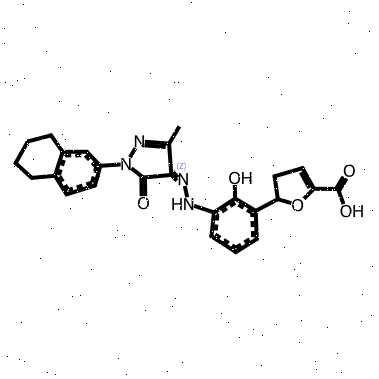 CC1=NN(c2ccc3c(c2)CCCC3)C(=O)/C1=N\Nc1cccc(C2CC=C(C(=O)O)O2)c1O